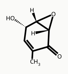 CC1=C[C@H](O)[C@@H]2O[C@@H]2C1=O